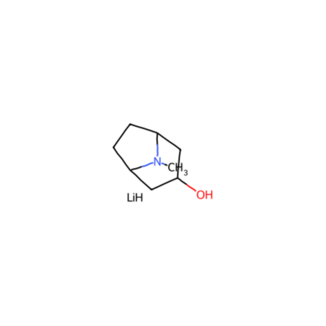 CN1C2CCC1CC(O)C2.[LiH]